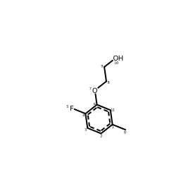 Cc1ccc(F)c(OCCO)c1